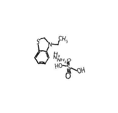 CCN1CSc2ccccc21.N.N.O=S(=O)(O)O